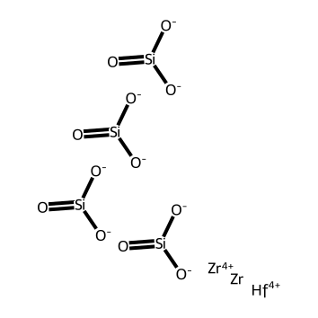 O=[Si]([O-])[O-].O=[Si]([O-])[O-].O=[Si]([O-])[O-].O=[Si]([O-])[O-].[Hf+4].[Zr+4].[Zr]